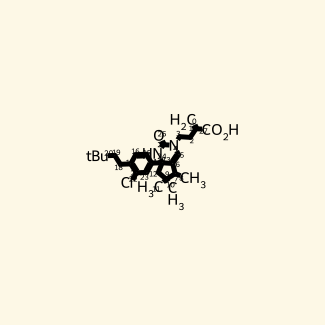 C=C(CCN1C=C2C(C)C(C)(C)CC2(c2ccc(CCC(C)(C)C)c(Cl)c2)NC1=O)C(=O)O